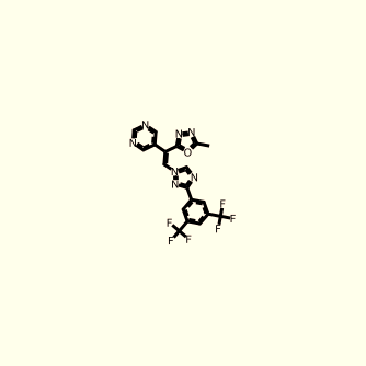 Cc1nnc(C(=Cn2cnc(-c3cc(C(F)(F)F)cc(C(F)(F)F)c3)n2)c2cncnc2)o1